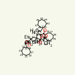 C=CC1(OC(=O)C(C)(C)CC(C)(CC(C)(CC)C(=O)OC2(C=C)CCCCCCC2)C(=O)OC2(C=C)CCCCCCC2)CCCCCCC1